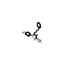 COc1ccc(SC(CCCCc2ccccc2)C(C)C(=O)O)cc1